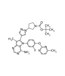 Cc1ccnc(Oc2ccc(-n3c(-c4cnn(C5CCN(C(=O)OC(C)(C)C)C5)c4)c(C)c4ncnc(N)c43)cc2F)n1